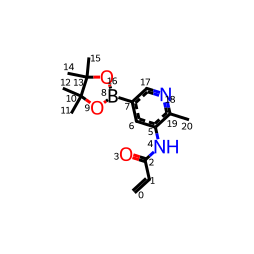 C=CC(=O)Nc1cc(B2OC(C)(C)C(C)(C)O2)cnc1C